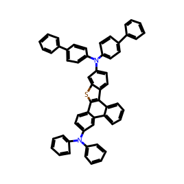 c1ccc(-c2ccc(N(c3ccc(-c4ccccc4)cc3)c3ccc4c(c3)sc3c5ccc(N(c6ccccc6)c6ccccc6)cc5c5ccccc5c43)cc2)cc1